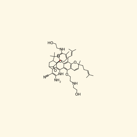 CC(C)=CCCC1(C)C=Cc2c(c(CC=C(C)C)c3c(c2OCCNCCO)C2=C4C(C(C#N)=C(N)N2)C2CC5C(C)(C)OC(C/C=C(/C)C(=O)NCCO)(C2=O)C45O3)O1